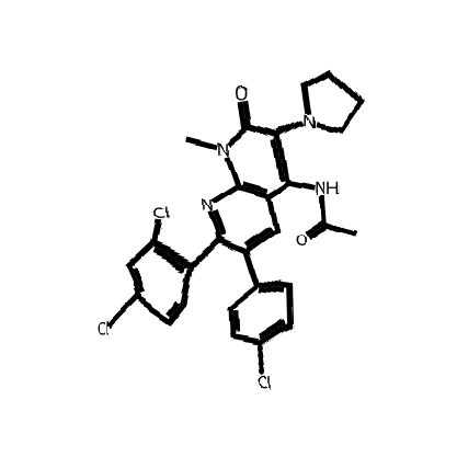 CC(=O)Nc1c(N2CCCC2)c(=O)n(C)c2nc(-c3ccc(Cl)cc3Cl)c(-c3ccc(Cl)cc3)cc12